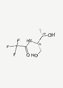 C[C@H](O)[C@H](CO)NC(=O)C(F)(F)F